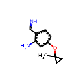 CC1(Oc2ccc(C=N)c(N)c2)CC1